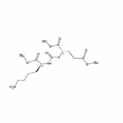 CC(C)(C)OC(=O)CC[C@H](OC(=O)N[C@@H](CCCCN)C(=O)OC(C)(C)C)C(=O)OC(C)(C)C